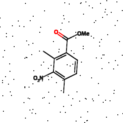 COC(=O)c1ccc(C)c([N+](=O)[O-])c1C